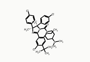 CCOc1cc(C(C)(C)C)c(Cl)cc1C1=N[C@@](C)(c2ccc(Cl)cc2)[C@@](C)(c2ccc(Cl)cc2)N1C(=O)N1CCC(N(C)C)CC1